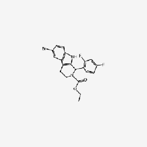 CCOC(=O)N1CCc2c([nH]c3ccc(Br)cc23)C1c1ccc(F)cc1F